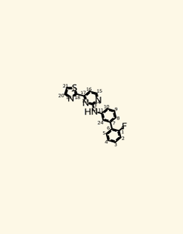 Fc1ccccc1-c1cccc(Nc2nccc(-c3nccs3)n2)c1